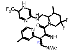 CN/C=C(\C(=N)C(=O)N1CC(F)(F)CC(C)C1CNC1=CNC(C(F)(F)F)C=N1)c1cc(C)ccn1